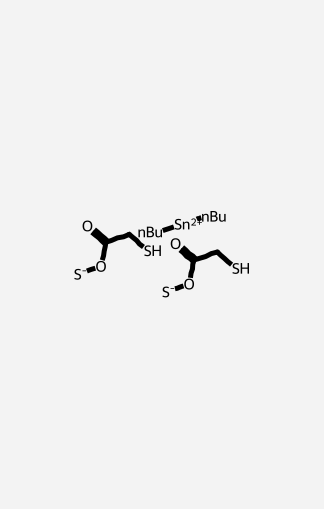 CCC[CH2][Sn+2][CH2]CCC.O=C(CS)O[S-].O=C(CS)O[S-]